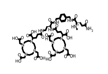 CN[C@@H](CCC(N)=O)C(=O)NCc1ccc(CNC(=O)[C@H](CCNC(=O)CCC(C(=O)O)N2CCN(CC(=O)O)CCN(CC(=O)O)CCN(CC(=O)O)CC2)NC(=O)CCC(C(=O)O)N2CCN(CC(=O)O)CCN(CC(=O)O)CCN(CC(=O)O)CC2)cc1